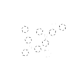 CCCc1ccccc1-c1ccc(N(c2ccc(C)cc2)c2ccc(C3(c4ccc(N(c5ccc(C)cc5)c5ccc(-c6ccccc6CCC)cc5)cc4)CCCCC3)cc2)cc1